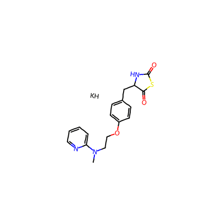 CN(CCOc1ccc(CC2NC(=O)SC2=O)cc1)c1ccccn1.[KH]